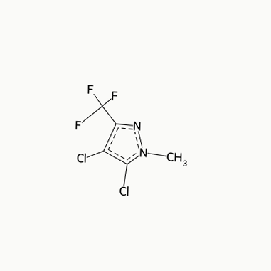 Cn1nc(C(F)(F)F)c(Cl)c1Cl